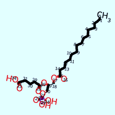 CCCCCCCCCCCCCCCC(=O)OC[C@H](COP(=O)(O)O)OC(=O)CCCC(=O)O